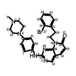 CN1CCN(c2ccc(Nc3ncc4ccc(=O)n(CCc5ccccc5Br)c4n3)cc2)CC1